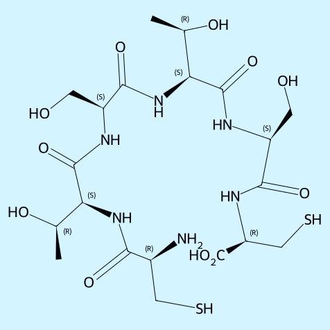 C[C@@H](O)[C@H](NC(=O)[C@H](CO)NC(=O)[C@@H](NC(=O)[C@@H](N)CS)[C@@H](C)O)C(=O)N[C@@H](CO)C(=O)N[C@@H](CS)C(=O)O